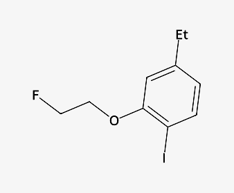 CCc1ccc(I)c(OCCF)c1